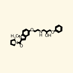 Cn1c(C(=O)N2CCCC2)cc2cc(OCCNCC(O)COc3ccccc3)ccc21